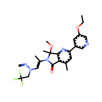 C=NN(/C=C(\C)N1C(=O)c2c(C)cc(-c3cncc(OCC)c3)nc2C1(C)OC)CC(F)(F)F